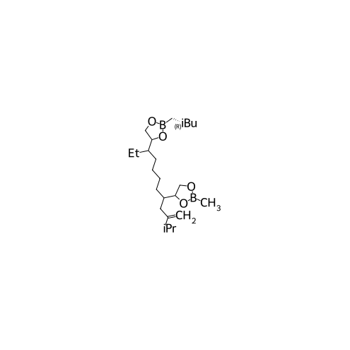 C=C(CC(CCCCC(CC)C1COB(C[C@@H](C)CC)O1)C1COB(C)O1)C(C)C